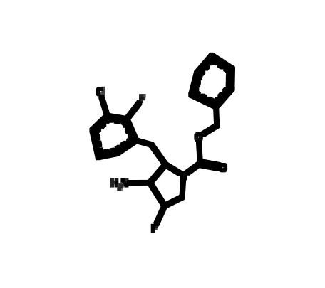 NC1C(F)CN(C(=O)OCc2ccccc2)C1Cc1cccc(Cl)c1F